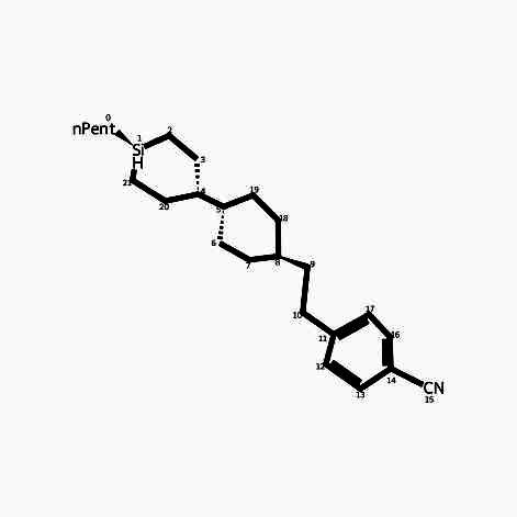 CCCCC[Si@H]1CC[C@H]([C@H]2CC[C@H](CCc3ccc(C#N)cc3)CC2)CC1